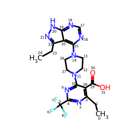 CCc1nc(C(F)(F)F)nc(N2CCN(c3ncnc4[nH]nc(CC)c34)CC2)c1C(=O)O